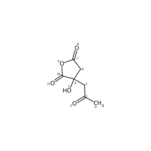 CC(=O)CC1(O)CC(=O)OC1=O